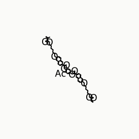 C=CC(=O)OCCCCCCOc1ccc2cc(C(=O)Oc3ccc(OC(=O)c4ccc5cc(OCCCCCCOC(=O)C(=C)C)ccc5c4)c(C(C)=O)c3)ccc2c1